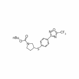 CCCCOC(=O)N1CCC(Sc2ccc(-c3noc(C(F)(F)F)n3)cc2)C1